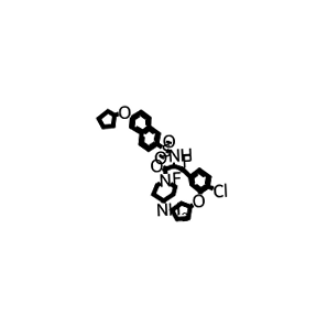 NC1CCN(C(=O)[C@H](NS(=O)(=O)c2ccc3cc(OC4CCCC4)ccc3c2)C(F)(F)c2ccc(Cl)c(OC3CCCC3)c2)CC1